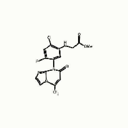 COC(=O)CNc1cc(-n2c(=O)cc(C(F)(F)F)n3ccnc23)c(F)cc1Cl